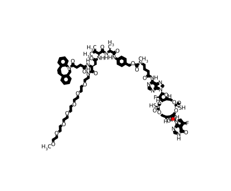 COCCOCCOCCOCCOCCOCCOCCNC(=O)[C@H](CC(=O)N[C@H](C(=O)N[C@@H](C)C(=O)Nc1ccc(COC(=O)N(C)CCCC(=O)Nc2ncnc3c2ncn3[C@@H]2O[C@@H]3CO[P@@](=O)(S)O[C@@H]4[C@H](O)[C@@H](CO[P@@](=O)(S)O[C@H]3[C@H]2F)O[C@H]4n2cc(F)c3c(=O)[nH]cnc32)cc1)C(C)C)NC(=O)CCC(=O)N1Cc2ccccc2C#Cc2ccccc21